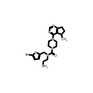 CC1CCc2ncnc(N3CCN(C(=O)N(CCN)Cc4ccc(Br)s4)CC3)c21